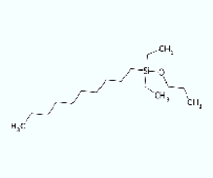 CCCCCCCCCC[Si](CC)(CC)OCCC